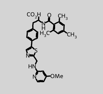 COc1ccnc(NCc2ncc(-c3ccc(CC(NC(=O)c4c(C)cc(C)cc4C)C(=O)O)cc3)s2)c1